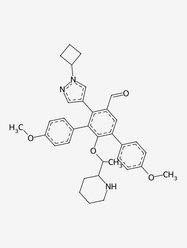 COc1ccc(-c2cc(C=O)c(-c3cnn(C4CCC4)c3)c(-c3ccc(OC)cc3)c2OC(C)C2CCCCN2)cc1